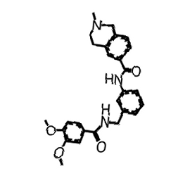 COc1ccc(C(=O)NCc2cccc(NC(=O)c3ccc4c(c3)CCN(C)C4)c2)cc1OC